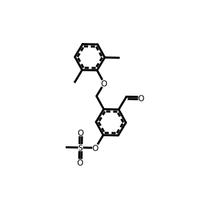 Cc1cccc(C)c1OCc1cc(OS(C)(=O)=O)ccc1C=O